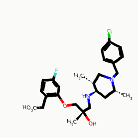 C[C@@H]1CN(Cc2ccc(Cl)cc2)[C@H](C)C[C@H]1NC[C@](C)(O)COc1cc(F)ccc1CC(=O)O